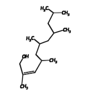 CC(=CC(C)CC(C)CC(C)CC(C)C)CO